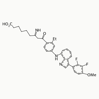 CCc1cc(Nc2ccccc3c(-c4ccc(OC)c(F)c4F)cnc2-3)ccc1C(=O)CC(=N)CCCCCC(=O)O